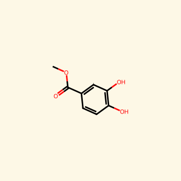 COC(=O)c1[c]c(O)c(O)cc1